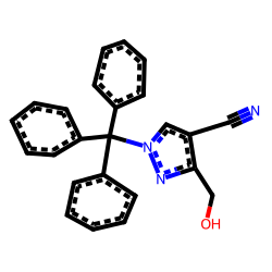 N#Cc1cn(C(c2ccccc2)(c2ccccc2)c2ccccc2)nc1CO